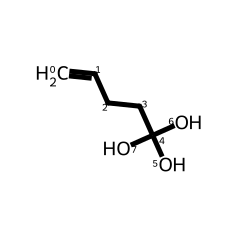 C=CCCC(O)(O)O